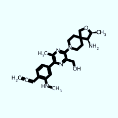 C=C=Cc1ccc(-c2nc(CO)c(N3CCC4(CC3)CO[C@@H](C)[C@H]4N)nc2C)cc1NC